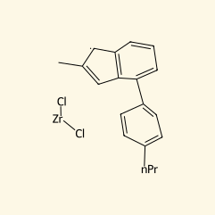 CCCc1ccc(-c2cccc3c2C=C(C)[CH]3)cc1.[Cl][Zr][Cl]